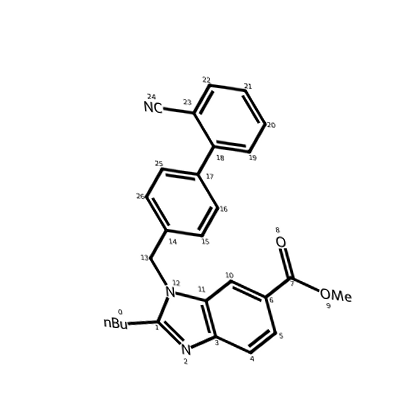 CCCCc1nc2ccc(C(=O)OC)cc2n1Cc1ccc(-c2ccccc2C#N)cc1